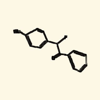 CC(C)(C)c1ccc(C(F)C(=O)c2ccccc2)cc1